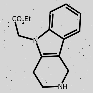 CCOC(=O)Cn1c2c(c3ccccc31)CNCC2